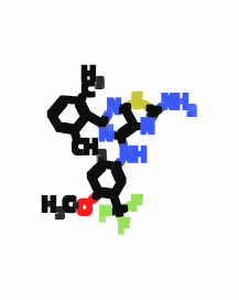 COc1ccc(Nc2nc(-c3c(C)cccc3C)nc3sc(N)nc23)cc1C(F)(F)F